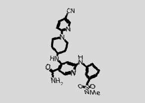 CNS(=O)(=O)c1cccc(Nc2cc(NC3CCN(c4ccc(C#N)cn4)CC3)c(C(N)=O)cn2)c1